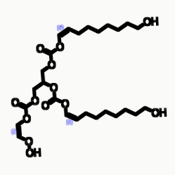 O=C(O/C=C\CCCCCCCO)OCC(COC(=O)O/C=C\OO)OC(=O)O/C=C\CCCCCCCO